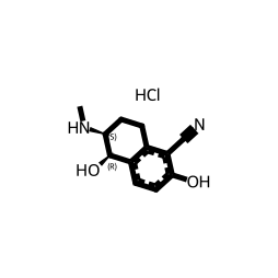 CN[C@H]1CCc2c(ccc(O)c2C#N)[C@H]1O.Cl